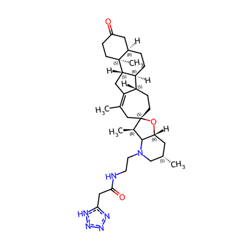 CC1=C2C[C@H]3[C@@H](CC[C@@H]4CC(=O)CC[C@@]43C)[C@@H]2CC[C@@]2(C1)O[C@@H]1C[C@H](C)CN(CCNC(=O)Cc3nnn[nH]3)C1[C@H]2C